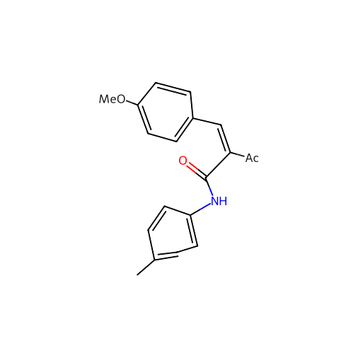 COc1ccc(C=C(C(C)=O)C(=O)Nc2ccc(C)cc2)cc1